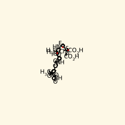 Cn1c(=O)n(C2CCC(=O)NC2=O)c2ccc(C3CCN(C(=O)Nc4cccc(CS(=O)(=O)N5CC[C@@H](Nc6cc(-c7sc(C(=O)O)c(OCC(=O)O)c7Cl)ccc6F)CC5(C)C)c4)CC3)cc21